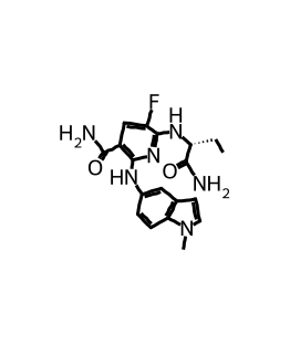 CC[C@@H](Nc1nc(Nc2ccc3c(ccn3C)c2)c(C(N)=O)cc1F)C(N)=O